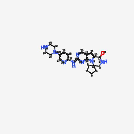 O=C1NCC2(CCCC2)n2c1cc1cnc(Nc3ccc(N4CCNCC4)cn3)nc12